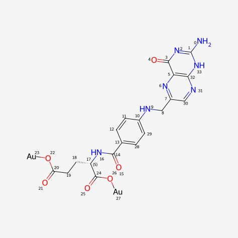 Nc1nc(=O)c2nc(CNc3ccc(C(=O)N[C@@H](CCC(=O)[O][Au])C(=O)[O][Au])cc3)cnc2[nH]1